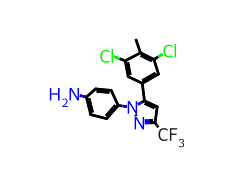 Cc1c(Cl)cc(-c2cc(C(F)(F)F)nn2-c2ccc(N)cc2)cc1Cl